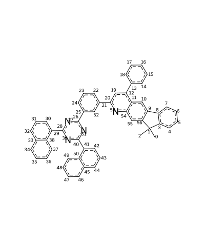 CC1(C)c2ccccc2-c2cc3c(-c4ccccc4)cc(-c4cccc(-c5nc(-c6cccc7ccccc67)nc(-c6cccc7ccccc67)n5)c4)nc3cc21